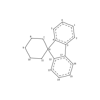 [c]1ccc2c(c1)C1([CH]CCCC1)c1ccccc1-2